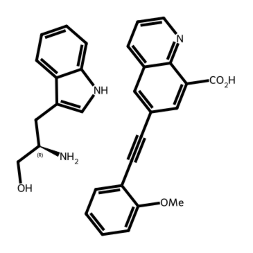 COc1ccccc1C#Cc1cc(C(=O)O)c2ncccc2c1.N[C@@H](CO)Cc1c[nH]c2ccccc12